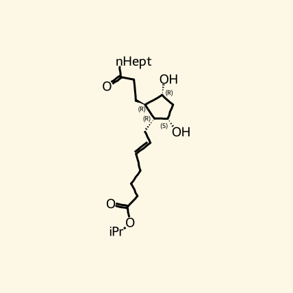 CCCCCCCC(=O)CC[C@@H]1[C@@H](CC=CCCCC(=O)OC(C)C)[C@@H](O)C[C@H]1O